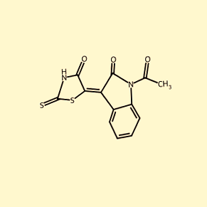 CC(=O)N1C(=O)C(=C2SC(=S)NC2=O)c2ccccc21